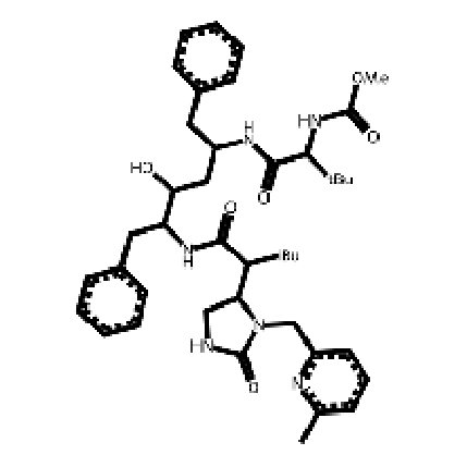 CCC(C)C(C(=O)NC(Cc1ccccc1)C(O)CC(Cc1ccccc1)NC(=O)C(NC(=O)OC)C(C)(C)C)C1CNC(=O)N1Cc1cccc(C)n1